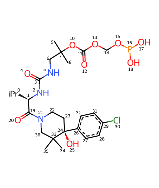 CC(C)[C@@H](NC(=O)NCC(C)(C)OC(=O)OCOP(O)O)C(=O)N1CC[C@](O)(c2ccc(Cl)cc2)C(C)(C)C1